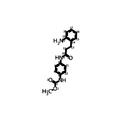 COC(=O)Nc1ccc(NC(=O)CCc2ccccc2N)cc1